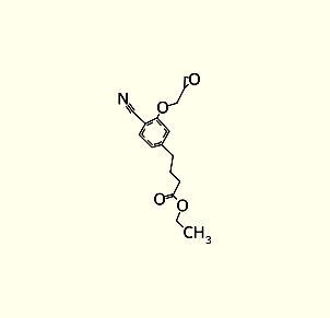 CCOC(=O)CCCc1ccc(C#N)c(OCC2CO2)c1